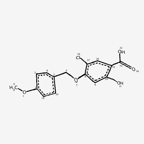 COc1ccc(COc2cc(O)c(C(=O)O)cc2Cl)cc1